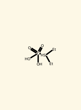 CC[SiH](CC)[Cr](=[O])(=[O])([OH])[OH]